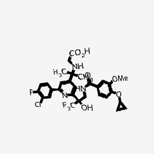 COc1cc(C(=O)NCC(O)(c2cc(C(C)(C)NCC(=O)O)cc(-c3ccc(F)c(Cl)c3)n2)C(F)(F)F)ccc1OC1CC1